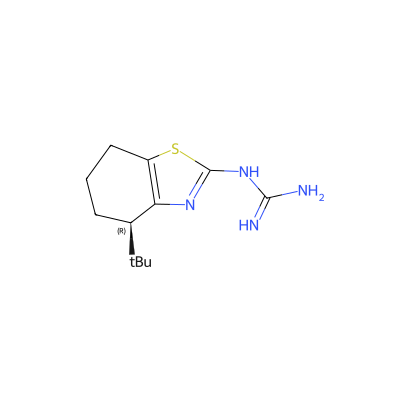 CC(C)(C)[C@H]1CCCc2sc(NC(=N)N)nc21